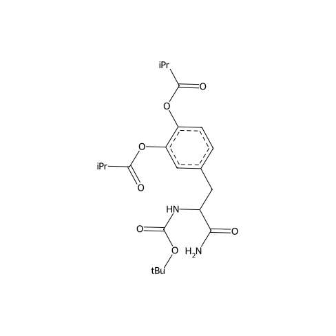 CC(C)C(=O)Oc1ccc(CC(NC(=O)OC(C)(C)C)C(N)=O)cc1OC(=O)C(C)C